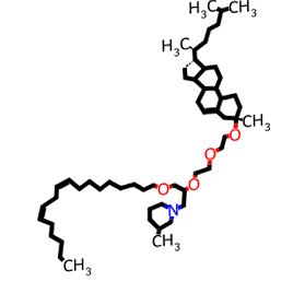 CCCCC/C=C\C/C=C\CCCCCCCCOCC(CN1CCCC(C)C1)OCCOCCO[C@@]1(C)CCC2C(=CCC3C2CCC2C3CC[C@@H]2[C@H](C)CCCC(C)C)C1